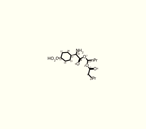 CCCC(OC(=O)CC(C)C)OC(=O)C(N)[C@H]1CC[C@H](C(=O)O)CC1